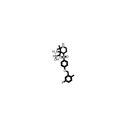 Cc1ccc(F)cc1COc1ccc(S(=O)(=O)C2CCNC(C)(C)C2(N)C(=O)NO)cc1